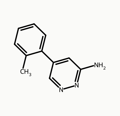 Cc1ccccc1-c1cnnc(N)c1